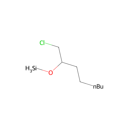 CCCCCCC(CCl)O[SiH3]